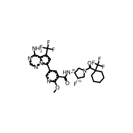 COc1ncc(-c2cc(C(F)(F)F)c3c(N)ncnn23)cc1C(=O)N[C@@H]1CN(C(=O)C2(C(F)(F)F)CCCCC2)C[C@@H]1F